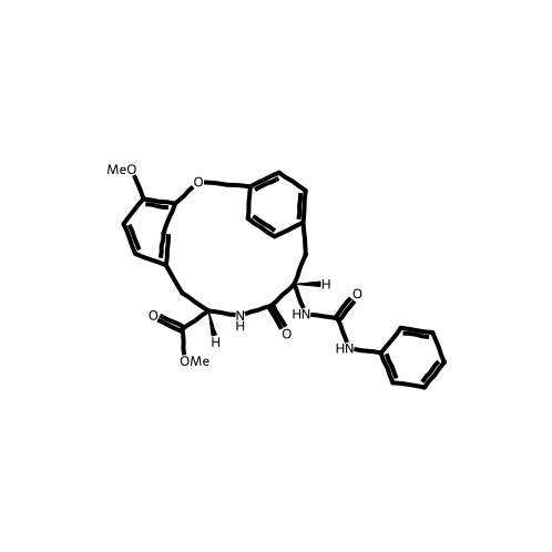 COC(=O)[C@@H]1Cc2ccc(OC)c(c2)Oc2ccc(cc2)C[C@H](NC(=O)Nc2ccccc2)C(=O)N1